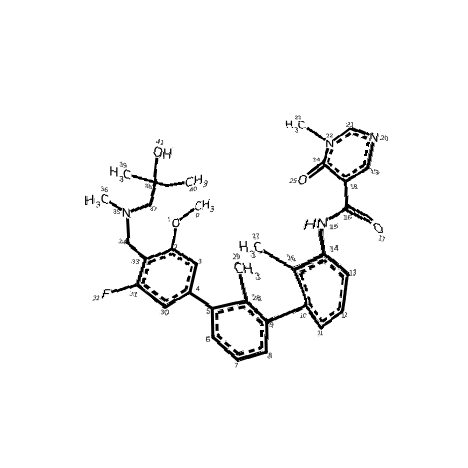 COc1cc(-c2cccc(-c3cccc(NC(=O)c4cncn(C)c4=O)c3C)c2C)cc(F)c1CN(C)CC(C)(C)O